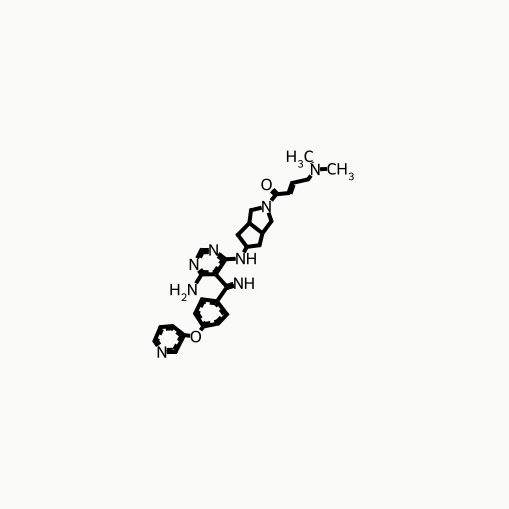 CN(C)C/C=C/C(=O)N1CC2CC(Nc3ncnc(N)c3C(=N)c3ccc(Oc4cccnc4)cc3)CC2C1